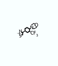 FC(F)(F)c1cc(-c2cs[c]n2)ccc1N1CCOCC1